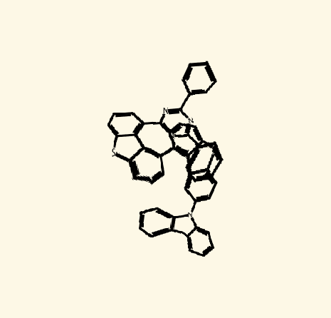 c1ccc(-c2nc(-c3ccccc3)nc(-c3cccc4sc5cccc(-c6cccc7oc8ccc(-n9c%10ccccc%10c%10ccccc%109)cc8c67)c5c34)n2)cc1